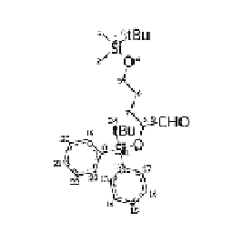 CC(C)(C)[Si](C)(C)OCCCC(C=O)O[Si](c1ccccc1)(c1ccccc1)C(C)(C)C